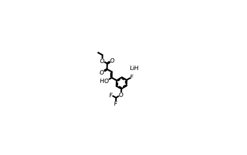 CCOC(=O)C(=O)C=C(O)c1cc(F)cc(OC(F)F)c1.[LiH]